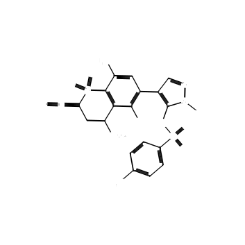 CCn1ncc(-c2cc(C)c3c(c2C)C(OC)CC(=C=O)S3(=O)=O)c1OS(=O)(=O)c1ccc(C)cc1